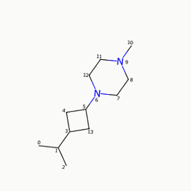 CC(C)C1CC(N2CCN(C)CC2)C1